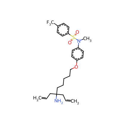 C=CCC(N)(CC=C)CCCCCOc1ccc(N(C)S(=O)(=O)c2ccc(C(F)(F)F)cc2)cc1